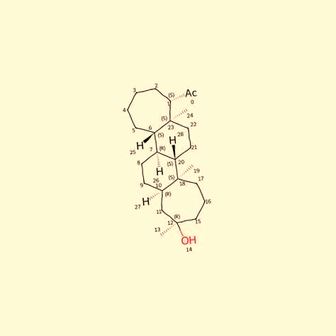 CC(=O)[C@H]1CCCC[C@H]2[C@@H]3CC[C@@H]4C[C@](C)(O)CCC[C@]4(C)[C@H]3CC[C@]12C